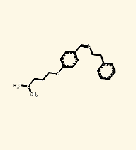 CN(C)CCCOc1ccc(/C=N\CCc2ccccc2)cc1